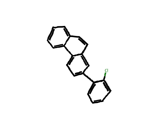 Clc1ccccc1-c1ccc2c(ccc3ccccc32)c1